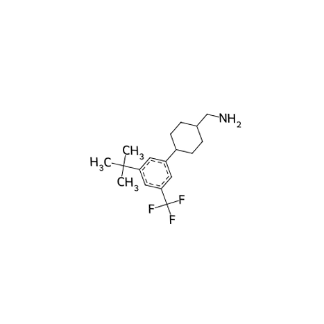 CC(C)(C)c1cc(C2CCC(CN)CC2)cc(C(F)(F)F)c1